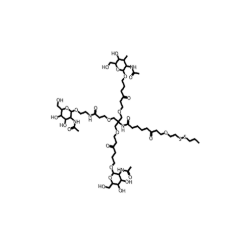 CCCSSCCOCCC(=O)CCCCC(=O)NC(COCCC(=O)CCCOC1OC(CO)C(O)C(C)C1NC(C)=O)(COCCC(=O)CCCOC1OC(CO)C(O)C(O)C1NC(C)=O)COCCC(=O)NCCOC1OC(CO)C(O)C(O)C1NC(C)=O